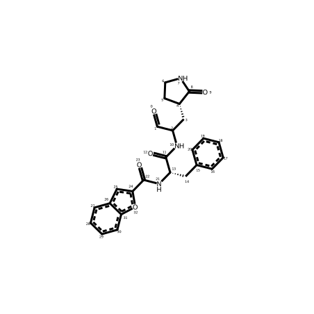 O=CC(C[C@@H]1CCNC1=O)NC(=O)[C@H](Cc1ccccc1)NC(=O)c1cc2ccccc2o1